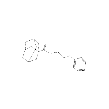 O=C(OCCNc1ccccc1)C12CC3CC(CC(C3)C1)C2